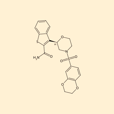 NC(=O)c1sc2ccccc2c1[C@@H]1CN(S(=O)(=O)c2ccc3c(c2)OCCO3)CCO1